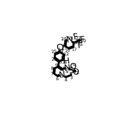 O=S1(=O)CC[n+]2cccc(-c3ccc(Oc4ccc(C(F)(F)F)nc4)cc3)c2N1